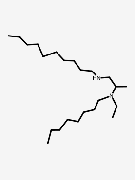 CCCCCCCCCCNCC(C)N(CC)CCCCCCCC